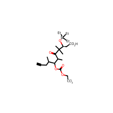 C#CCC(C)C(OC(=O)OCC(Cl)(Cl)Cl)C(C)C(=O)C(C)(C)[C@H](CC(=O)O)O[Si](CC)(CC)CC